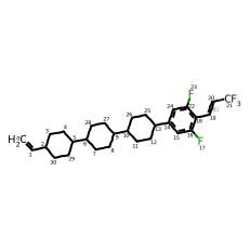 C=CC1CCC(C2CCC(C3CCC(c4cc(F)c(/C=C/C(F)(F)F)c(F)c4)CC3)CC2)CC1